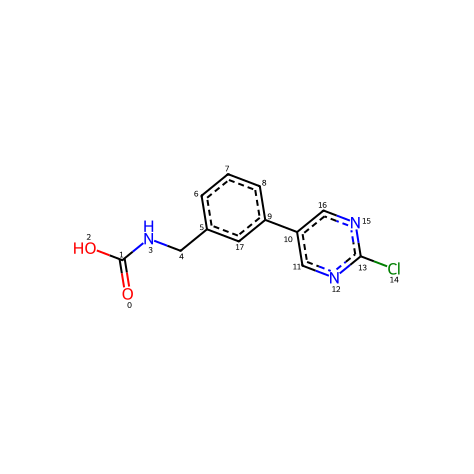 O=C(O)NCc1cccc(-c2cnc(Cl)nc2)c1